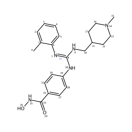 Cc1ccccc1/N=C(\NCC1CCN(C)CC1)Nc1ccc(C(=O)NO)cc1